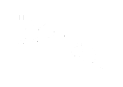 Cc1cc(=O)oc2cc(OCc3cc4cc(Br)ccc4o3)ccc12